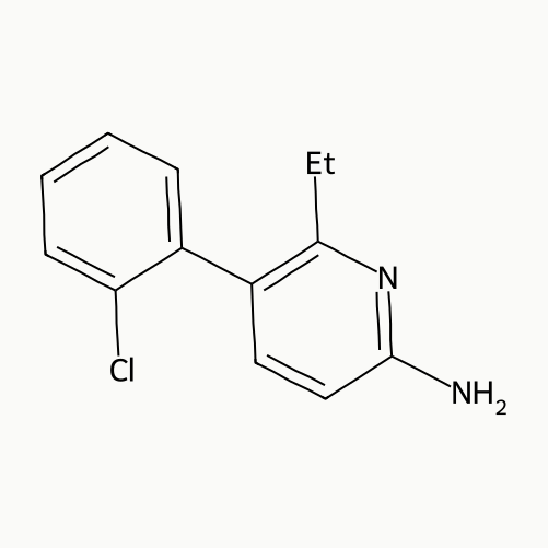 CCc1nc(N)ccc1-c1ccccc1Cl